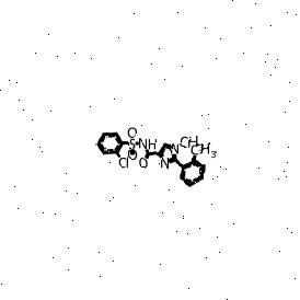 Cc1ccccc1-c1nc(C(=O)NS(=O)(=O)c2ccccc2Cl)cn1C